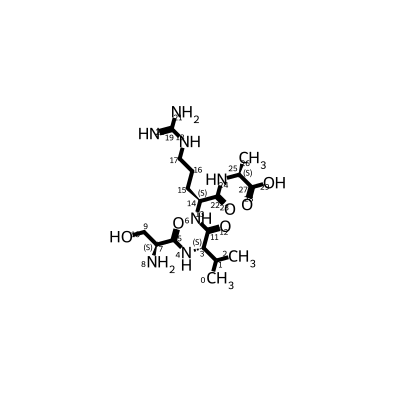 CC(C)[C@H](NC(=O)[C@@H](N)CO)C(=O)N[C@@H](CCCNC(=N)N)C(=O)N[C@@H](C)C(=O)O